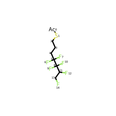 CC(=O)SCCCC(F)(F)C(F)(F)C(F)CF